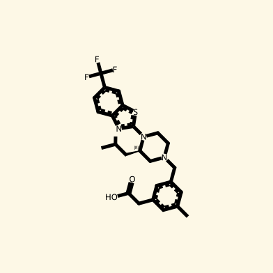 Cc1cc(CC(=O)O)cc(CN2CCN(c3nc4ccc(C(F)(F)F)cc4s3)[C@H](CC(C)C)C2)c1